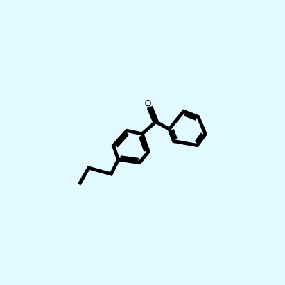 CCCc1ccc(C(=O)c2ccccc2)cc1